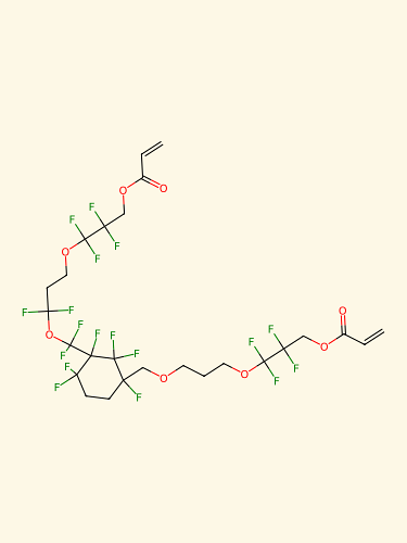 C=CC(=O)OCC(F)(F)C(F)(F)OCCCOCC1(F)CCC(F)(F)C(F)(C(F)(F)OC(F)(F)CCOC(F)(F)C(F)(F)COC(=O)C=C)C1(F)F